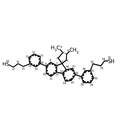 CCCC1(CCC)c2cc(-c3cccc(CCCS)c3)ccc2-c2ccc(-c3cccc(CCCS)c3)cc21